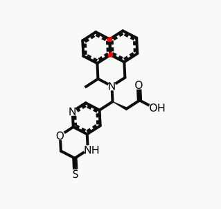 CC(c1ccccc1)N(Cc1ccccc1)[C@@H](CC(=O)O)c1cnc2c(c1)NC(=S)CO2